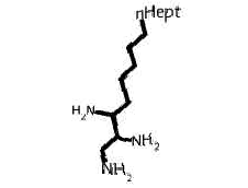 CCCCCCCCCCCCC(N)C(N)CN